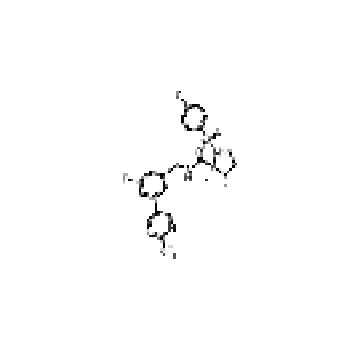 C[C@H]1CCN(S(=O)(=O)c2ccc(F)cc2)[C@]1(C)C(=O)NCc1cc(F)cc(-c2cnc(C(F)(F)F)nc2)c1